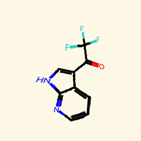 O=C(c1c[nH]c2ncccc12)C(F)(F)F